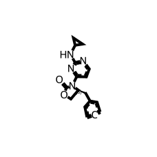 O=C1OC[C@H](Cc2ccccc2)N1c1ccnc(NC2CC2)n1